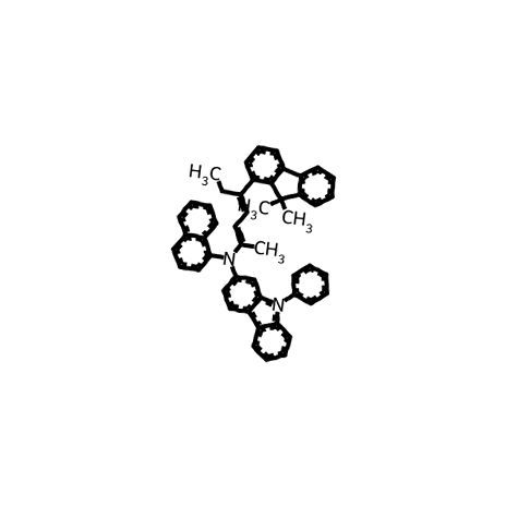 CC/C(=C\C=C(/C)N(c1ccc2c3ccccc3n(-c3ccccc3)c2c1)c1cccc2ccccc12)c1cccc2c1C(C)(C)c1ccccc1-2